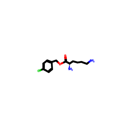 NCCCC[C@H](N)C(=O)OCc1ccc(Cl)cc1